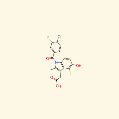 Cc1c(CC(=O)O)c2c(F)c(O)ccc2n1C(=O)c1ccc(Cl)c(F)c1